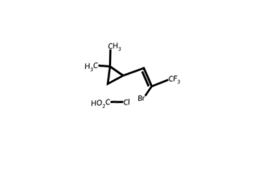 CC1(C)CC1C=C(Br)C(F)(F)F.O=C(O)Cl